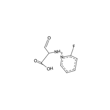 Fc1ccccn1.NC(C=O)C(=O)O